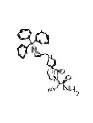 CC(C)C(C(N)=O)N1CC[C@]2(CCN(CC3C[N@]3C(c3ccccc3)(c3ccccc3)c3ccccc3)C2)C1=O